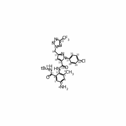 Cc1cc(N)cc(C(=O)NC(C)(C)C)c1NC(=O)c1cc(Cn2nnc(C(F)(F)F)n2)nn1-c1ccc(Cl)cc1